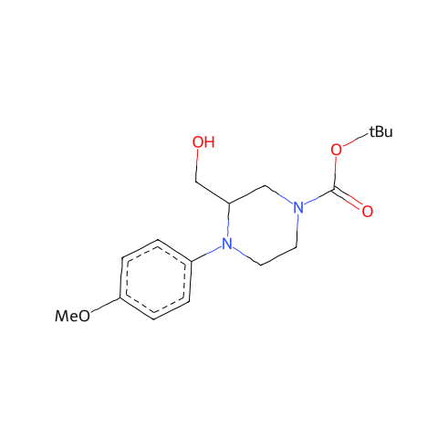 COc1ccc(N2CCN(C(=O)OC(C)(C)C)CC2CO)cc1